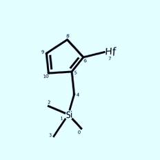 C[Si](C)(C)CC1=[C]([Hf])CC=C1